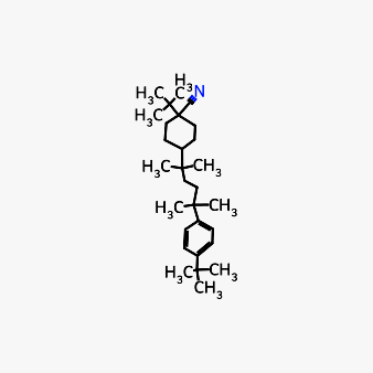 CC(C)(C)c1ccc(C(C)(C)CCC(C)(C)C2CCC(C#N)(C(C)(C)C)CC2)cc1